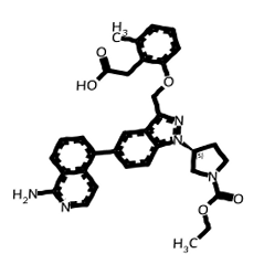 CCOC(=O)N1CC[C@H](n2nc(COc3cccc(C)c3CC(=O)O)c3cc(-c4cccc5c(N)nccc45)ccc32)C1